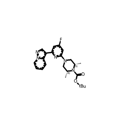 C[C@@H]1CN(c2cc(F)cc(-c3cnn4ccccc34)n2)C[C@H](C)N1C(=O)OC(C)(C)C